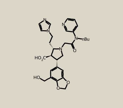 CCCCN(C(=O)CN1C[C@H](c2cc(CO)c3c(c2)OCO3)[C@@H](C(=O)O)[C@@H]1CCn1ccnc1)c1cccnc1